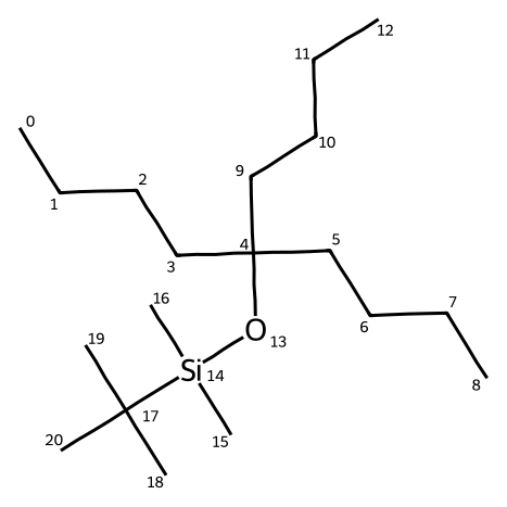 CCCCC(CCCC)(CCCC)O[Si](C)(C)C(C)(C)C